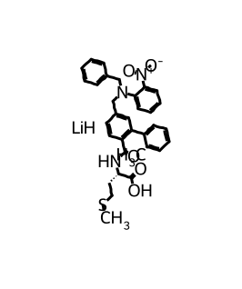 CSCC[C@H](NC(=O)c1ccc(CN(Cc2ccccc2)c2ccccc2[N+](=O)[O-])cc1-c1ccccc1C)C(=O)O.[LiH]